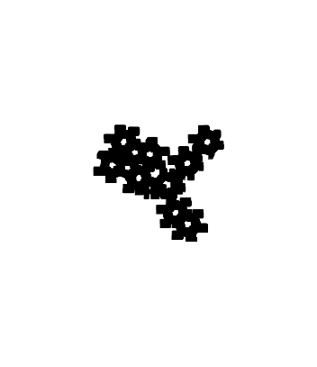 C1=C(c2ccc(-c3ccccc3)cc2)N=C(c2ccc3ccccc3c2)NC1c1ccc2c(c1)C1(c3ccccc3-c3ccccc31)c1ccccc1-2